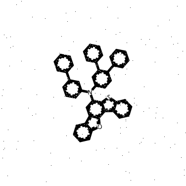 c1ccc(-c2cccc(N(c3ccc(-c4ccccc4)c(-c4ccccc4)c3)c3cc4c5ccccc5oc4c4c3sc3ccccc34)c2)cc1